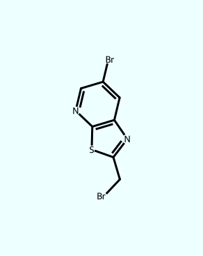 BrCc1nc2cc(Br)cnc2s1